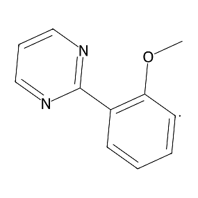 COc1[c]cccc1-c1ncccn1